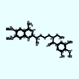 CCOc1c(C(C)C)cc(C(=O)N(CCCN(CC)c2nc(N)c3cc(OC)c(OC)cc3n2)CC(C)C)cc1C(C)C